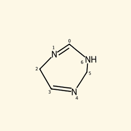 C1=NCC=NCN1